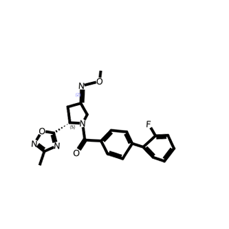 CO/N=C1/C[C@@H](c2nc(C)no2)N(C(=O)c2ccc(-c3ccccc3F)cc2)C1